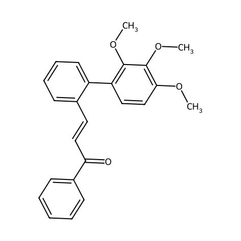 COc1ccc(-c2ccccc2C=CC(=O)c2ccccc2)c(OC)c1OC